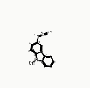 CCn1c2ccccc2c2cc(N=C=S)ccc21